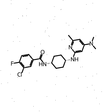 Cc1cc(N(C)C)cc(N[C@H]2CC[C@@H](NC(=O)c3ccc(F)c(Cl)c3)CC2)n1